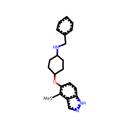 CSc1c(OC2CCC(NCc3ccccc3)CC2)ccc2[nH]ncc12